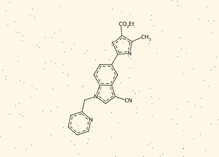 CCOC(=O)c1sc(-c2ccc3c(c2)c(C#N)cn3Cc2ccccn2)nc1C